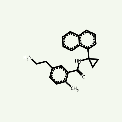 Cc1ccc(CCN)cc1C(=O)NC1(c2cccc3ccccc23)CC1